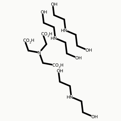 O=C(O)CN(CC(=O)O)CC(=O)O.OCCNCCO.OCCNCCO.OCCNCCO